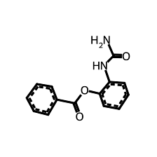 NC(=O)Nc1ccccc1OC(=O)c1ccccc1